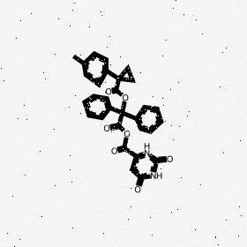 Cc1ccc(C2(C(=O)OC(C(=O)OC(=O)c3cc(=O)[nH]c(=O)[nH]3)(c3ccccc3)c3ccccc3)CC2)cc1